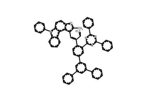 C=C/C(=C\c1c(C)oc2ccc3c(c4ccccc4n3-c3ccccc3)c12)c1ccc(-c2cc(-c3ccccc3)cc(-c3ccccc3)c2)cc1-c1nc(-c2ccccc2)nc(-c2ccccc2)n1